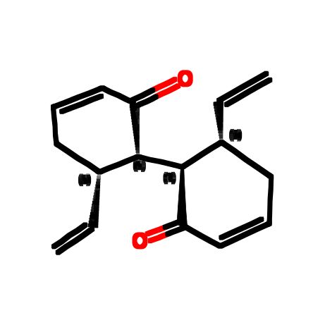 C=C[C@@H]1CC=CC(=O)[C@@H]1[C@@H]1C(=O)C=CC[C@H]1C=C